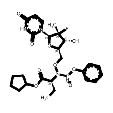 CC[C@@H](C(=O)OC1CCCC1)N(OC[C@H]1O[C@@H](n2ccc(=O)[nH]c2=O)[C@](C)(F)[C@@H]1O)[PH](=O)Oc1ccccc1